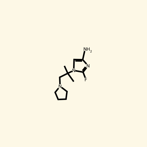 CC(C)(CN1CCCC1)n1cc(N)nc1F